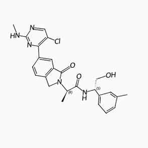 CNc1ncc(Cl)c(-c2ccc3c(c2)C(=O)N([C@H](C)C(=O)N[C@H](CO)c2cccc(C)c2)C3)n1